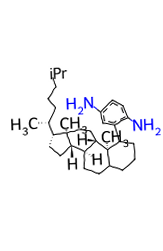 CC(C)CCC[C@@H](C)[C@H]1CC[C@H]2[C@@H]3CCC4CCCC(c5cc(N)ccc5N)[C@]4(C)[C@H]3CC[C@]12C